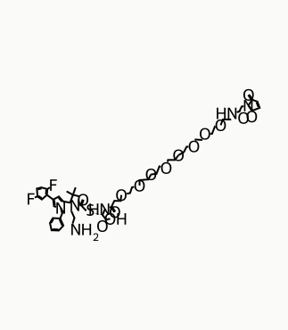 CC(C)(C)C(c1cc(-c2cc(F)ccc2F)cn1Cc1ccccc1)N(CCCN)C(=O)CSC[C@H](NC(=O)CCOCCOCCOCCOCCOCCOCCOCCOCCNC(=O)CN1C(=O)C=CC1=O)C(=O)O